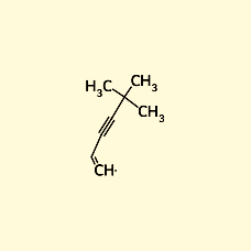 [CH]=CC#CC(C)(C)C